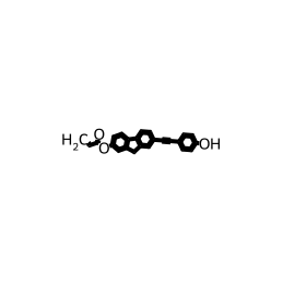 C=CC(=O)Oc1ccc2c(c1)Cc1cc(C#Cc3ccc(O)cc3)ccc1-2